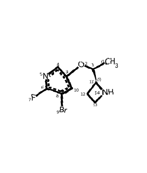 CC(Oc1cnc(F)c(Br)c1)[C@@H]1CCN1